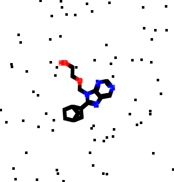 OCCOCn1c(C2CC3CCC2C3)nc2cncnc21